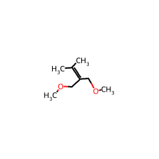 COCC(COC)=C(C)C